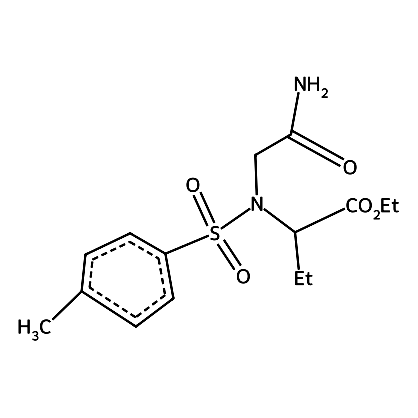 CCOC(=O)C(CC)N(CC(N)=O)S(=O)(=O)c1ccc(C)cc1